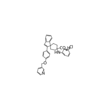 O=C(O)C1(Nc2cccc(Cl)c2)CCC2(CC1)C(c1ccc(OCc3cccnc3)cc1)=Cc1ccccc12